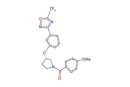 COc1ccc(C(=O)N2CC[C@H](Oc3cccc(-c4noc(C(F)(F)F)n4)c3)C2)cc1